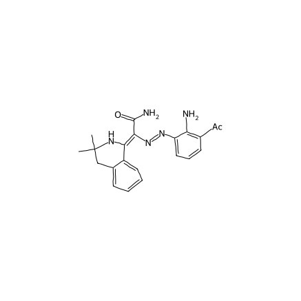 CC(=O)c1cccc(N=NC(C(N)=O)=C2NC(C)(C)Cc3ccccc32)c1N